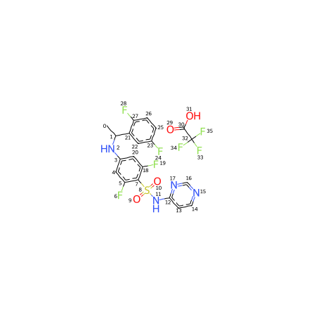 CC(Nc1cc(F)c(S(=O)(=O)Nc2ccncn2)c(F)c1)c1cc(F)ccc1F.O=C(O)C(F)(F)F